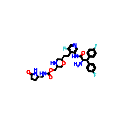 N[C@H](C(=O)Nc1cncc(F)c1CC[C@@H]1CN[C@H](COC(=O)NC[C@@H]2CCC(=O)N2)CO1)C(c1ccc(F)cc1)c1ccc(F)cc1